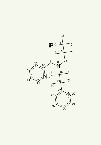 CC(C)C(C)(C)C(C)(C)CN(Cc1ccccn1)C(C)(C)C(C)(C)c1ccccn1